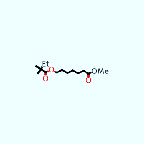 CCC(C)(C)C(=O)OCCCCCCC(=O)OC